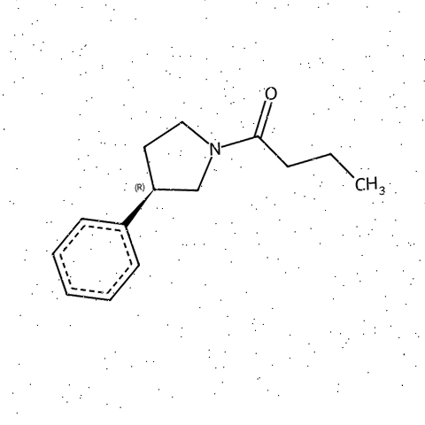 CCCC(=O)N1CC[C@H](c2ccccc2)C1